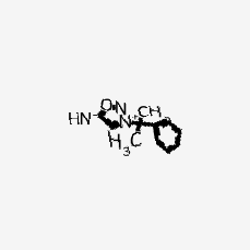 CC(C)(c1ccccc1)[n+]1cc([NH-])on1